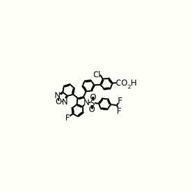 O=C(O)c1ccc(-c2cccc(-c3c(-c4cccc5nonc45)c4cc(F)ccc4n3S(=O)(=O)c3ccc(C(F)F)cc3)c2)c(Cl)c1